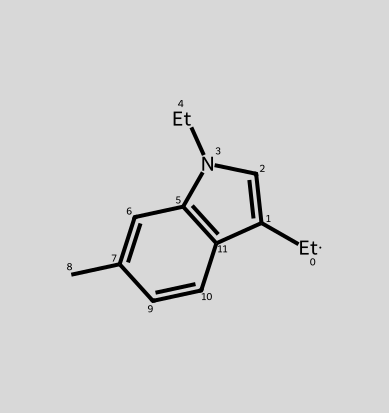 C[CH]c1cn(CC)c2cc(C)ccc12